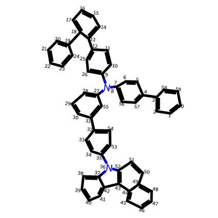 c1ccc(-c2ccc(N(c3ccc(-c4ccccc4-c4ccccc4)cc3)c3cccc(-c4ccc(-n5c6ccccc6c6c7ccccc7ccc65)cc4)c3)cc2)cc1